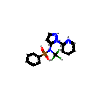 O=S(=O)(c1ccccc1)N(c1ccnn1-c1ccccn1)C(F)(F)F